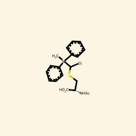 CCC(SC[C@H](NC(C)=O)C(=O)O)[Si](C)(c1ccccc1)c1ccccc1